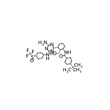 CC(C)(C)c1ccc(C(=O)Nc2cccc(-c3nc(N)nc(Nc4ccc([S+]([O-])C(F)(F)F)cc4)n3)c2CO)cc1